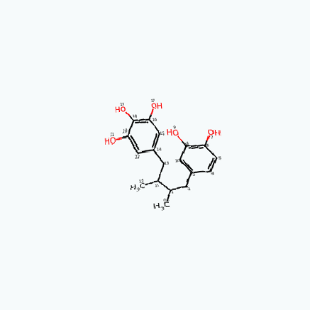 CC(Cc1ccc(O)c(O)c1)C(C)Cc1cc(O)c(O)c(O)c1